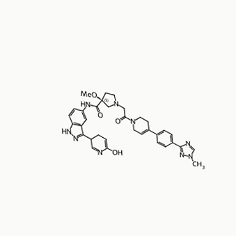 CO[C@@]1(C(=O)Nc2ccc3[nH]nc(C4C=NC(O)=CC4)c3c2)CCN(CC(=O)N2CC=C(c3ccc(-c4ncn(C)n4)cc3)CC2)C1